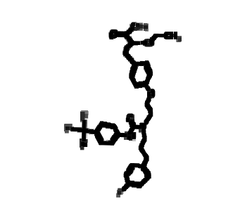 CCOC(Cc1ccc(OCCN(CCCc2ccc(F)cc2)C(=O)Nc2ccc(C(F)(F)F)cc2)cc1)C(=O)O